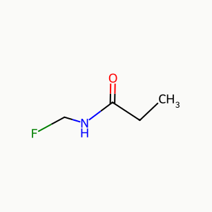 CCC(=O)NCF